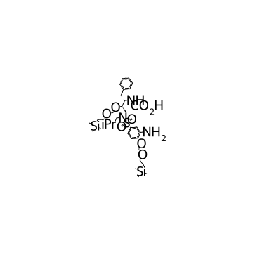 CC(C)CN(C[C@@H](OCOCC[Si](C)(C)C)[C@H](Cc1ccccc1)NC(=O)O)S(=O)(=O)c1ccc(OCOCC[Si](C)(C)C)c(N)c1